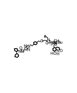 CC(C)(C)[Si](C)(C)O[C@@H](CNCCN(CC1CC1)C(=O)CCOCCc1ccc(CCN2C[C@H]3C[C@@H](OC(=O)Nc4ccccc4-c4ccccc4)C[C@H]3C2)cc1)c1ccc(O)c2[nH]c(=O)ccc12